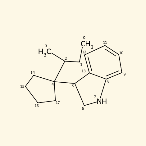 CCC(C)C1(C2CNc3ccccc32)CCCC1